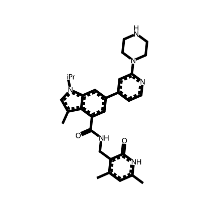 Cc1cc(C)c(CNC(=O)c2cc(-c3ccnc(N4CCNCC4)c3)cc3c2c(C)cn3C(C)C)c(=O)[nH]1